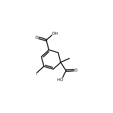 CC1(C(=O)O)C=C(I)C=C(C(=O)O)C1